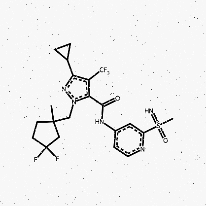 CC1(Cn2nc(C3CC3)c(C(F)(F)F)c2C(=O)Nc2ccnc(S(C)(=N)=O)c2)CCC(F)(F)C1